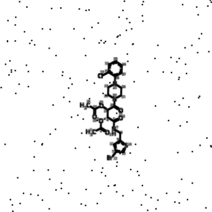 CC(=O)O[C@@H](C(=O)NCc1cc(Br)cs1)[C@@H](OC(C)=O)C(=O)N1CCN(c2ccccc2Cl)CC1